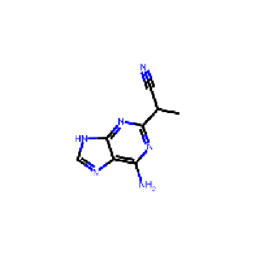 CC(C#N)c1nc(N)c2nc[nH]c2n1